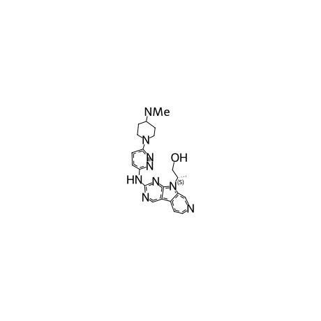 CNC1CCN(c2ccc(Nc3ncc4c5ccncc5n([C@@H](C)CO)c4n3)nn2)CC1